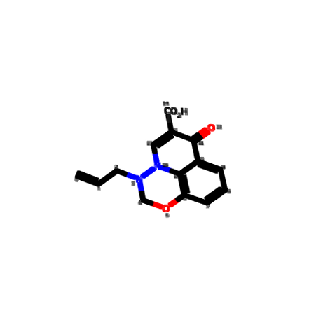 C=CCN1COc2cccc3c(=O)c(C(=O)O)cn1c23